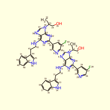 CC(CO)n1cnc2c(NCCc3c[nH]c4ccccc34)nc(-c3cncc(F)c3)nc21.CC(CO)n1cnc2c(NCCc3c[nH]c4ccccc34)nc(-c3cncc(F)c3)nc21